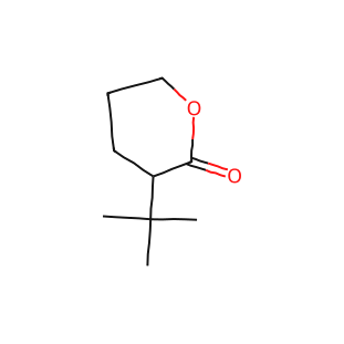 CC(C)(C)C1CCCOC1=O